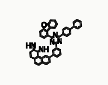 N=C1C=Cc2ccc3ccc(-c4cccc(-c5nc(-c6ccc(-c7ccccc7)cc6)nc(-c6cccc7oc8ccccc8c67)n5)c4)cc3c2C1=N